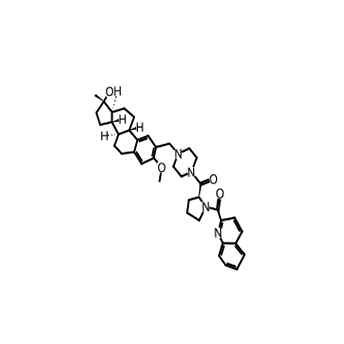 COc1cc2c(cc1CN1CCN(C(=O)[C@@H]3CCCN3C(=O)c3ccc4ccccc4n3)CC1)[C@H]1CC[C@@]3(C)[C@@H](CC[C@]3(C)O)[C@@H]1CC2